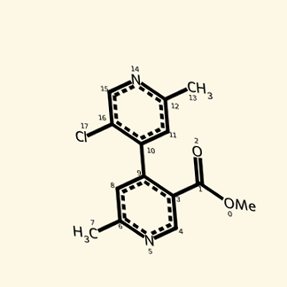 COC(=O)c1cnc(C)cc1-c1cc(C)ncc1Cl